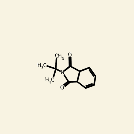 CC(C)(C)N1C(=O)C2C=CC=CC2C1=O